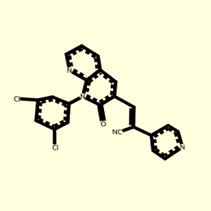 N#CC(=Cc1cc2cccnc2n(-c2cc(Cl)cc(Cl)c2)c1=O)c1ccncc1